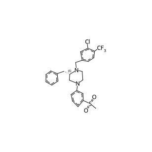 CS(=O)(=O)c1cccc(N2CCN(Cc3ccc(C(F)(F)F)c(Cl)c3)[C@@H](Cc3ccccc3)C2)c1